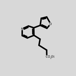 CCOC(=O)CCCc1ccncc1-c1ccoc1